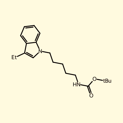 CCc1cn(CCCCCNC(=O)OC(C)(C)C)c2ccccc12